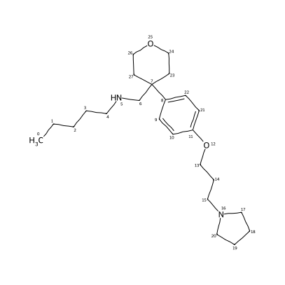 CCCCCNCC1(c2ccc(OCCCN3CCCC3)cc2)CCOCC1